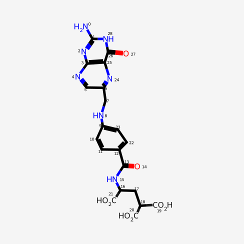 Nc1nc2ncc(CNc3ccc(C(=O)NC(CC(C(=O)O)C(=O)O)C(=O)O)cc3)nc2c(=O)[nH]1